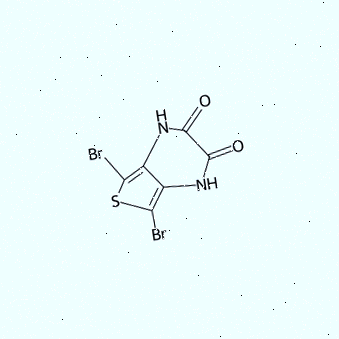 O=c1[nH]c2c(Br)sc(Br)c2[nH]c1=O